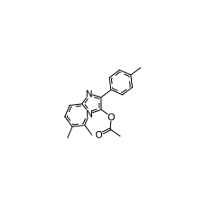 CC(=O)Oc1c(-c2ccc(C)cc2)nc2ccc(C)c(C)n12